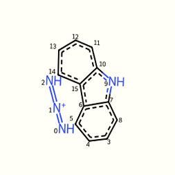 N=[N+]=N.c1ccc2c(c1)[nH]c1ccccc12